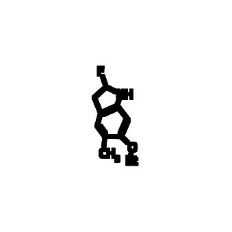 CCOc1cc2c(cc1C)CC(F)N2